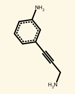 NCC#Cc1cccc(N)c1